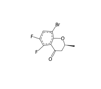 C[C@H]1CC(=O)c2c(F)c(F)cc(Br)c2O1